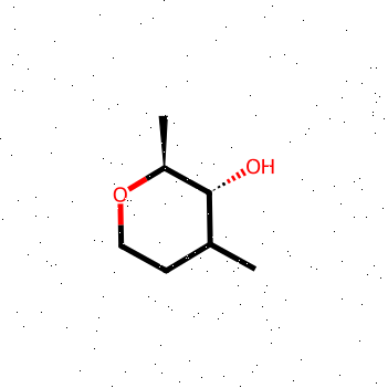 CC1CCO[C@@H](C)[C@@H]1O